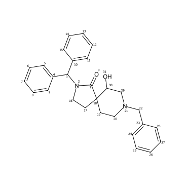 O=C1N(C(c2ccccc2)c2ccccc2)CCC12CCN(Cc1ccccc1)CC2O